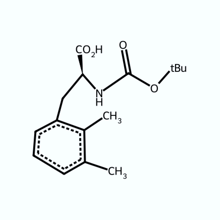 Cc1cccc(C[C@H](NC(=O)OC(C)(C)C)C(=O)O)c1C